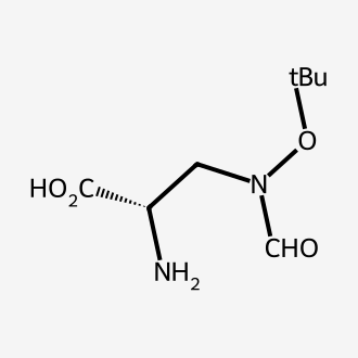 CC(C)(C)ON(C=O)C[C@H](N)C(=O)O